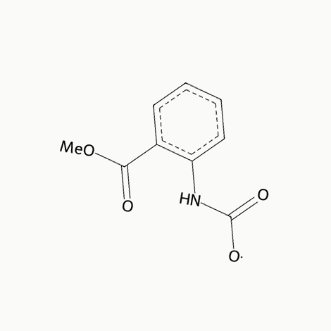 COC(=O)c1ccccc1NC([O])=O